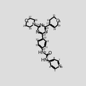 O=C(Nc1ccncc1)Nc1ccc(-c2nc(C3=CCOCC3)nc(N3CCOCC3)n2)cc1